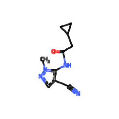 Cn1ncc(C#N)c1NC(=O)CC1CC1